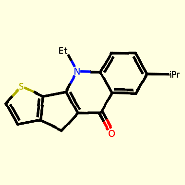 CCn1c2c(c(=O)c3cc(C(C)C)ccc31)Cc1ccsc1-2